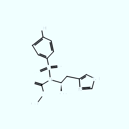 Cc1ccc(S(=O)(=O)N(C(=O)OC(C)(C)C)[C@@H](Cc2c[nH]cn2)C(=O)O)cc1